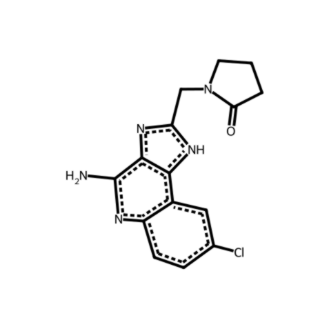 Nc1nc2ccc(Cl)cc2c2[nH]c(CN3CCCC3=O)nc12